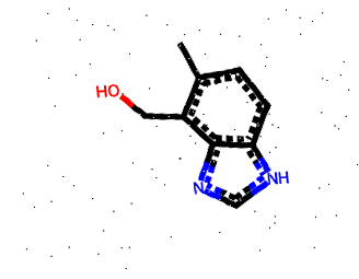 Cc1ccc2[nH]cnc2c1CO